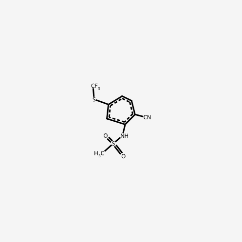 CS(=O)(=O)Nc1cc(SC(F)(F)F)ccc1C#N